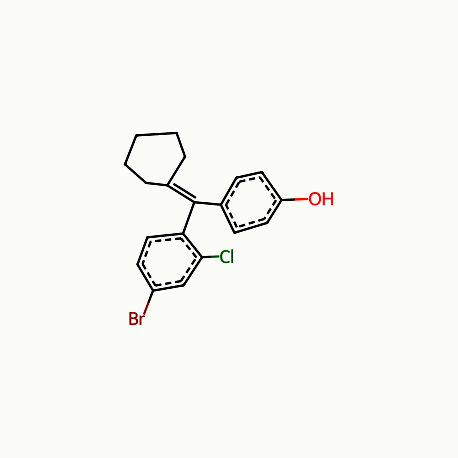 Oc1ccc(C(=C2CCCCC2)c2ccc(Br)cc2Cl)cc1